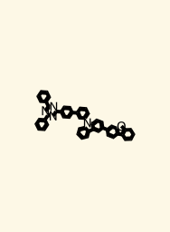 C1=Cc2c(oc3cc(-c4ccc5c(c4)c4ccccc4n5-c4cccc(-c5ccc(-c6nc(-c7ccccc7)nc(-c7ccccc7)n6)cc5)c4)ccc23)CC1